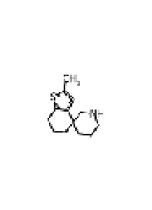 Cc1cc2c(s1)CCC[C@@]21CCCNC1